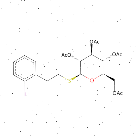 CC(=O)OC[C@H]1O[C@@H](SCCc2ccccc2I)[C@H](OC(C)=O)[C@@H](OC(C)=O)[C@@H]1OC(C)=O